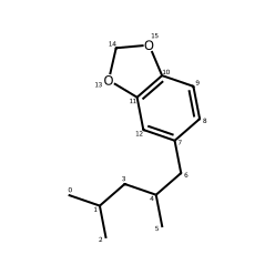 CC(C)CC(C)Cc1ccc2c(c1)OCO2